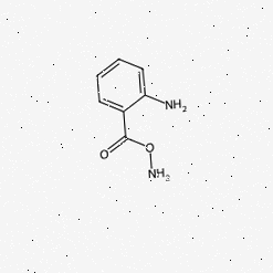 NOC(=O)c1ccccc1N